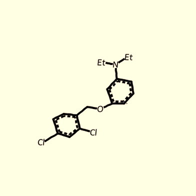 CCN(CC)c1cc[c]c(OCc2ccc(Cl)cc2Cl)c1